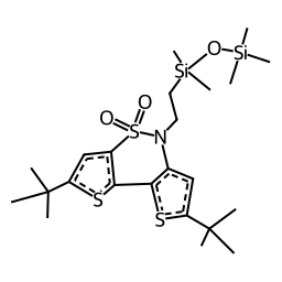 CC(C)(C)c1cc2c(s1)-c1sc(C(C)(C)C)cc1S(=O)(=O)N2CC[Si](C)(C)O[Si](C)(C)C